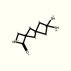 O=C1NCC12CC1(CC(S)(S)C1)C2